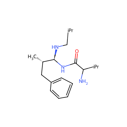 CC(C)CN[C@@H](NC(=O)C(N)C(C)C)[C@@H](C)Cc1ccccc1